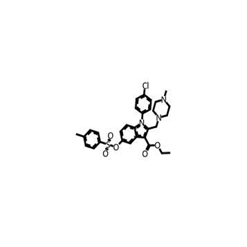 CCOC(=O)c1c(CN2CCN(C)CC2)n(-c2ccc(Cl)cc2)c2ccc(OS(=O)(=O)c3ccc(C)cc3)cc12